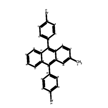 Cc1ccc2c(-c3ccc(Br)cc3)c3ccccc3c(-c3ccc(Br)cc3)c2c1